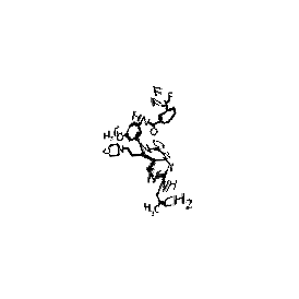 C=C(C)CNc1ncc2c(CCN3CCOCC3)n(-c3cc(NC(=O)c4cccc(C(F)(F)F)c4)cc(OC)c3)c(=O)nc2n1